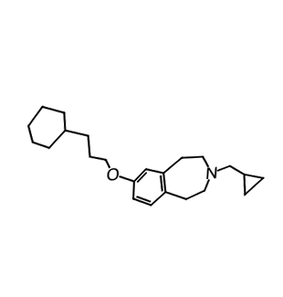 c1cc2c(cc1OCCCC1CCCCC1)CCN(CC1CC1)CC2